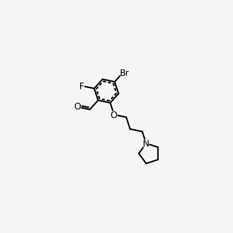 O=Cc1c(F)cc(Br)cc1OCCCN1CCCC1